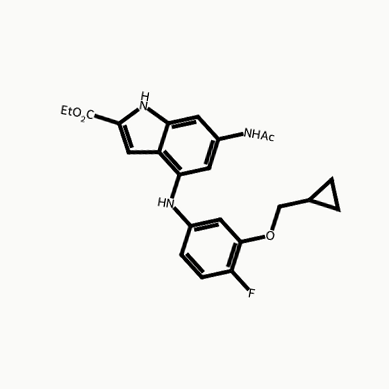 CCOC(=O)c1cc2c(Nc3ccc(F)c(OCC4CC4)c3)cc(NC(C)=O)cc2[nH]1